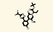 CCC(C(=O)OC(C)(C)C)n1cc(OC)c(-c2cc(Cl)ccc2-c2nnc(C(F)F)s2)cc1=O